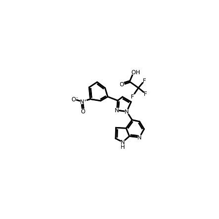 O=C(O)C(F)(F)F.O=[N+]([O-])c1cccc(-c2ccn(-c3ccnc4[nH]ccc34)n2)c1